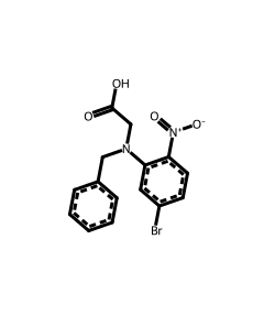 O=C(O)CN(Cc1ccccc1)c1cc(Br)ccc1[N+](=O)[O-]